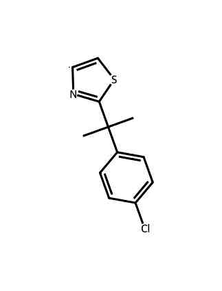 CC(C)(c1ccc(Cl)cc1)c1n[c]cs1